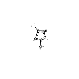 [CH]c1n[nH]c([CH])n1